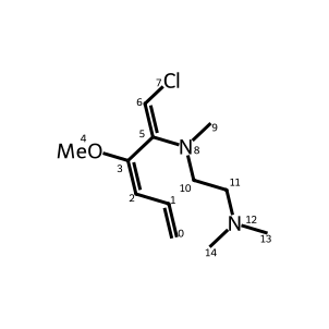 C=C/C=C(OC)\C(=C\Cl)N(C)CCN(C)C